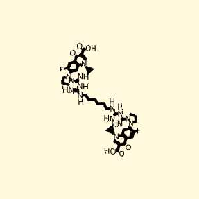 N=C(NCCCCCCNC(=N)NC(=N)N1CCCN1c1cc2c(cc1F)c(=O)c(C(=O)O)cn2C1CC1)NC(=N)N1CCCN1c1cc2c(cc1F)c(=O)c(C(=O)O)cn2C1CC1